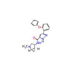 CN1C[C@@H](NC(=O)c2cc(-c3ccccc3Oc3ccccc3)n[nH]2)[C@H]2C[C@H]21